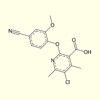 COc1cc(C#N)ccc1Oc1nc(C)c(Cl)c(C)c1C(=O)O